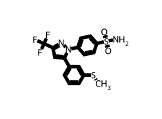 CSc1cccc(-c2cc(C(F)(F)F)nn2-c2ccc(S(N)(=O)=O)cc2)c1